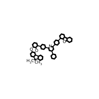 CC1(C)c2ccccc2-c2c1ccc1c2Oc2c(cccc2-c2ccc(-c3cc(-c4ccccc4)cc(-c4ccc(-c5cccc6c5oc5ccccc56)cc4)n3)cc2)O1